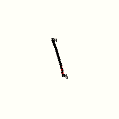 CCCCCCCCCCCCCCCCCCCCCCCCCCCCCCCCCCCCS